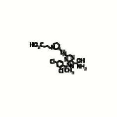 C[C@H](c1ccc(Cl)cc1Cl)n1nc(C(N)O)c2ncc(N3CC([C@@H]4CCCN(CCCC(=O)O)C4)C3)nc21